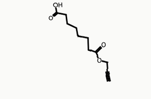 C#CCOC(=O)CCCCCCC(=O)O